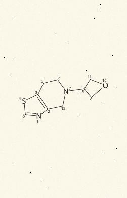 [c]1nc2c(s1)CCN(C1COC1)C2